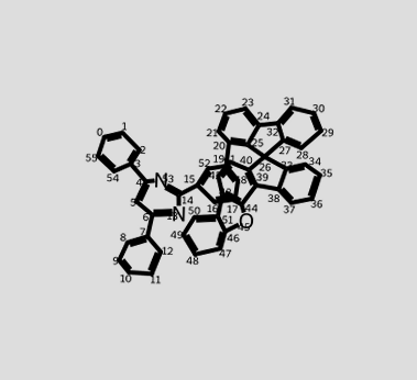 c1ccc(-c2cc(-c3ccccc3)nc(-c3cccc(-c4cccc5c4C4(c6ccccc6-5)c5ccccc5-c5c4ccc4c5oc5ccccc54)c3)n2)cc1